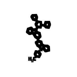 CC1C=CC(n2c3ccccc3c3cc(-c4ccc5c(c4)c4ccccc4n5C4=CC(c5ccccc5)CC(c5ccccc5)=C4)ccc32)=CC1